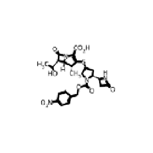 CC(O)[C@H]1C(=O)N2C(C(=O)O)=C(S[C@H]3C[C@@H](C4CC(=O)N4)N(C(=O)OCc4ccc([N+](=O)[O-])cc4)C3)[C@H](C)[C@H]12